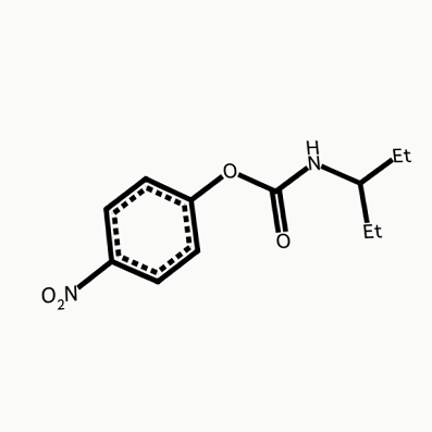 CCC(CC)NC(=O)Oc1ccc([N+](=O)[O-])cc1